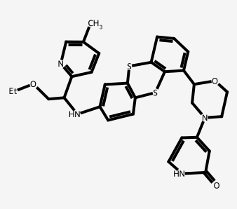 CCOCC(Nc1ccc2c(c1)Sc1cccc(C3CN(c4cc[nH]c(=O)c4)CCO3)c1S2)c1ccc(C)cn1